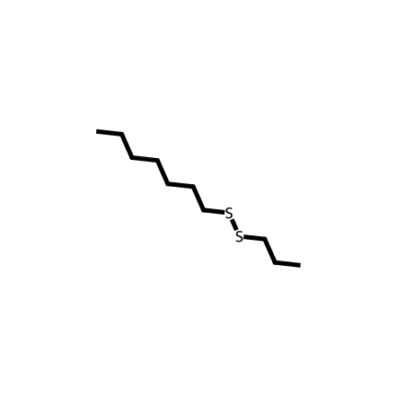 CCCCCCCSSCCC